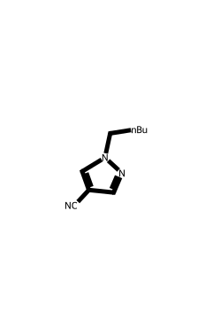 CCCCCn1cc(C#N)cn1